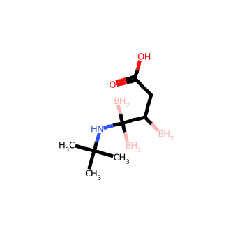 BC(CC(=O)O)C(B)(B)NC(C)(C)C